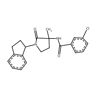 CC1(NC(=O)c2cccc(Cl)c2)CCN(C2CCc3ccccc32)C1=O